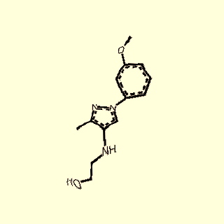 COc1cccc(-n2cc(NCCO)c(C)n2)c1